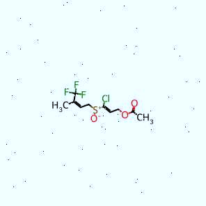 CC(=O)OC/C=C(\Cl)[S+]([O-])C/C=C(/C)C(F)(F)F